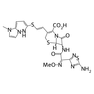 CO/N=C(\C(=O)N[C@@H]1C(=O)N2C(C(=O)O)=C(/C=C/SC3=CC=C4N(C)C=CN4N3)CS[C@@H]12)c1nsc(N)n1